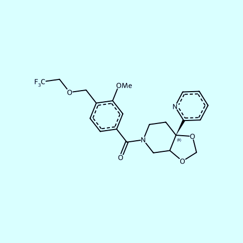 COc1cc(C(=O)N2CC[C@]3(c4ccccn4)OCOC3C2)ccc1COCC(F)(F)F